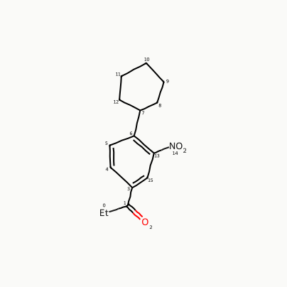 CCC(=O)c1ccc(C2CCCCC2)c([N+](=O)[O-])c1